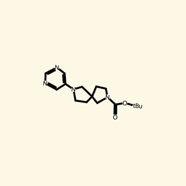 CC(C)(C)OC(=O)N1CCC2(CCN(c3cncnc3)C2)C1